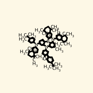 Cc1cc2c3c(c1)N(c1ccc4c(c1)C(C)(C)CCC4(C)C)c1cc4c(cc1B3c1ccc(N(c3ccc(C(C)(C)C)cc3)c3ccc5c(c3)C(C)(C)CCC5(C)C)cc1N2c1ccc2oc3cc(C(C)(C)C)ccc3c2c1)C(C)(C)CCC4(C)C